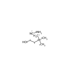 C[N+](C)(C)CCO.N#CN